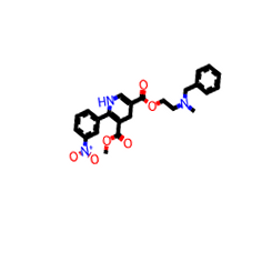 COC(=O)C1=C(c2cccc([N+](=O)[O-])c2)NC=C(C(=O)OCCN(C)Cc2ccccc2)C1